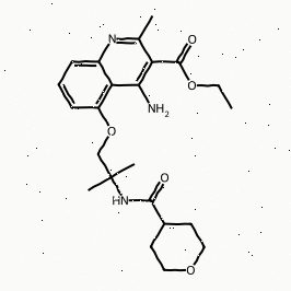 CCOC(=O)c1c(C)nc2cccc(OCC(C)(C)NC(=O)C3CCOCC3)c2c1N